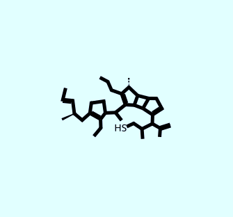 C=C(C)C(C1=CCC2C1C1C(C(C)C3CCC(C[C@@H](C)/C=C/C)=C3CC)=C(CCC)[C@H](C)C21)C(C)CS